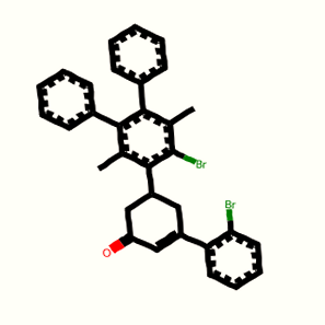 Cc1c(Br)c(C2CC(=O)C=C(c3ccccc3Br)C2)c(C)c(-c2ccccc2)c1-c1ccccc1